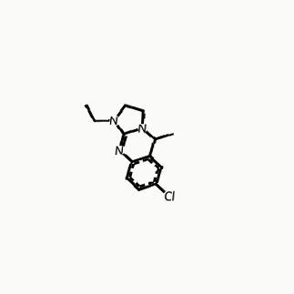 CCN1CCN2C1=Nc1ccc(Cl)cc1C2C